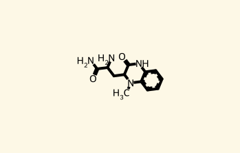 CN1c2ccccc2NC(=O)C1CC(N)C(N)=O